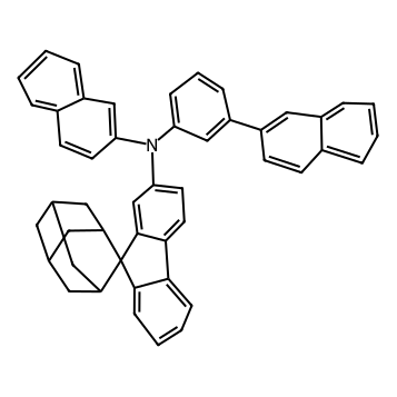 c1cc(-c2ccc3ccccc3c2)cc(N(c2ccc3c(c2)C2(c4ccccc4-3)C3CC4CC(C3)CC2C4)c2ccc3ccccc3c2)c1